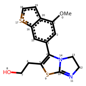 COc1cc(C2=C(CCO)SC3=NCCN32)cc2sccc12